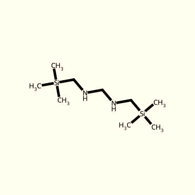 C[Si](C)(C)CNCNC[Si](C)(C)C